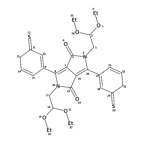 CCOC(CN1C(=O)C2=C(C3=CC(=S)CC=C3)N(CC(OCC)OCC)C(=O)C2=C1C1=CC(=S)CC=C1)OCC